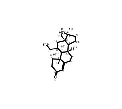 C[C@]12CCC(=O)C=C1CC[C@@H]1[C@@H]2[C@@H](CCl)C[C@@]2(CI)[C@H]1CC[C@]2(C)O